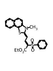 CCOC(=O)/C(=C/C=C1\Sc2c(ccc3ccccc23)N1C)S(=O)(=O)c1ccccc1